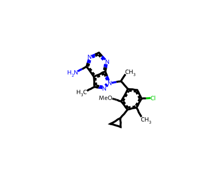 COc1c(C(C)n2nc(C)c3c(N)ncnc32)cc(Cl)c(C)c1C1CC1